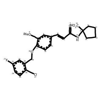 COc1cc(C=CC(=O)NC2(C(=O)O)CCCC2)ccc1OCc1cc(F)ccc1Cl